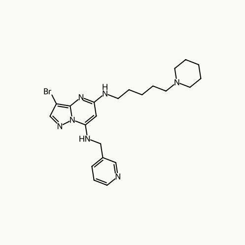 Brc1cnn2c(NCc3cccnc3)cc(NCCCCCN3CCCCC3)nc12